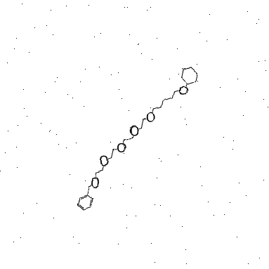 c1ccc(COCCOCCOCCOCCOCCCCCOC2CCCCC2)cc1